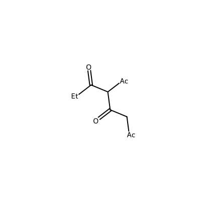 CCC(=O)C(C(C)=O)C(=O)CC(C)=O